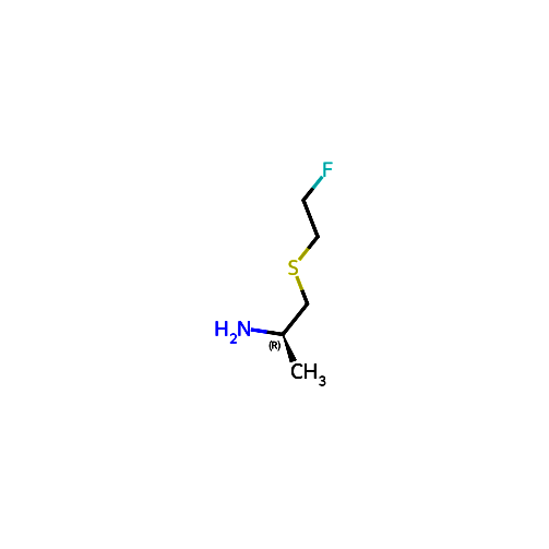 C[C@@H](N)CSCCF